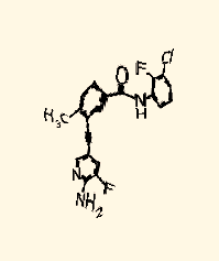 Cc1ccc(C(=O)Nc2cccc(Cl)c2F)cc1C#Cc1cnc(N)c(F)c1